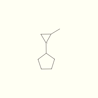 CC1C[C]1C1CCCC1